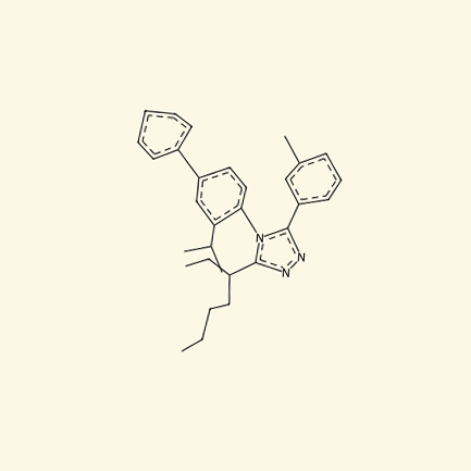 CCCCC(CC)c1nnc(-c2cccc(C)c2)n1-c1ccc(-c2ccccc2)cc1C(C)C